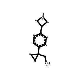 OCC1(c2ccc(C3CNC3)cc2)CC1